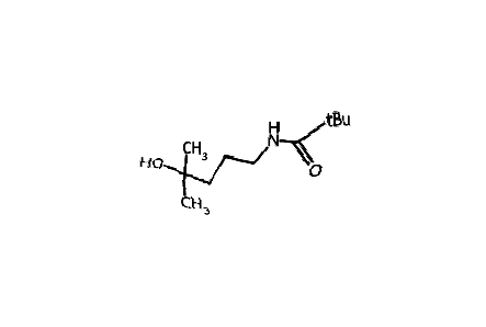 CC(C)(O)CCCNC(=O)C(C)(C)C